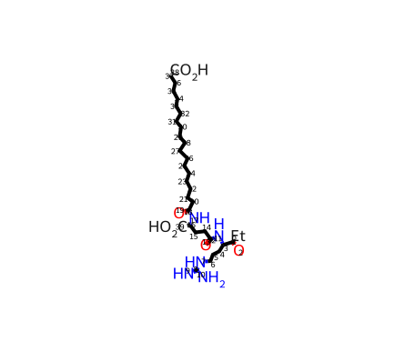 CCC(=O)C(CCCNC(=N)N)NC(=O)CCC(NC(=O)CCCCCCCCCCCCCCCCCCC(=O)O)C(=O)O